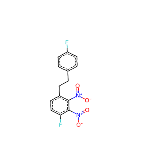 O=[N+]([O-])c1c(F)ccc(CCc2ccc(F)cc2)c1[N+](=O)[O-]